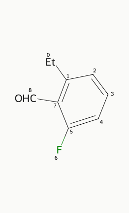 CCc1cccc(F)c1C=O